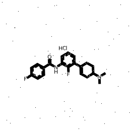 CN(C)C1CC=C(c2cccc(NC(=O)c3ccc(F)cc3)c2F)CC1.Cl